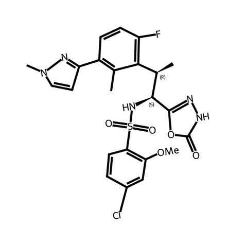 COc1cc(Cl)ccc1S(=O)(=O)N[C@H](c1n[nH]c(=O)o1)[C@H](C)c1c(F)ccc(-c2ccn(C)n2)c1C